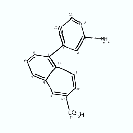 Nc1cc(-c2cccc3cc(C(=O)O)ccc23)ncn1